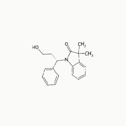 CC1(C)C(=O)N([C@@H](CCO)c2ccccc2)c2ccccc21